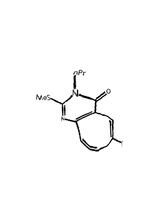 CCCn1c(SC)nc2ccc(I)cc2c1=O